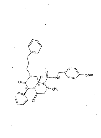 COc1ccc(CNC(=O)N2[C@H]3CN(CCCc4ccccc4)C(=O)[C@H](c4ccccc4)N3C(=O)CN2C)cc1